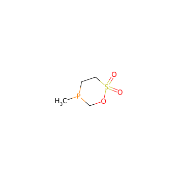 CP1CCS(=O)(=O)OC1